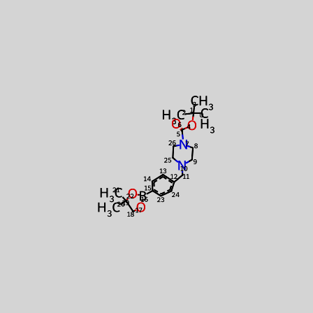 CC(C)(C)OC(=O)N1CCN(Cc2ccc(B3OCC(C)(C)O3)cc2)CC1